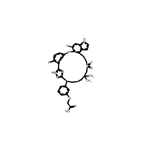 CC1(C)CCCC(c2cccc(OCC(=O)O)c2)c2n[nH]c(n2)-c2cc(ccc2F)Oc2c(F)cc3[nH]ccc3c2CCS(=O)(=O)C1